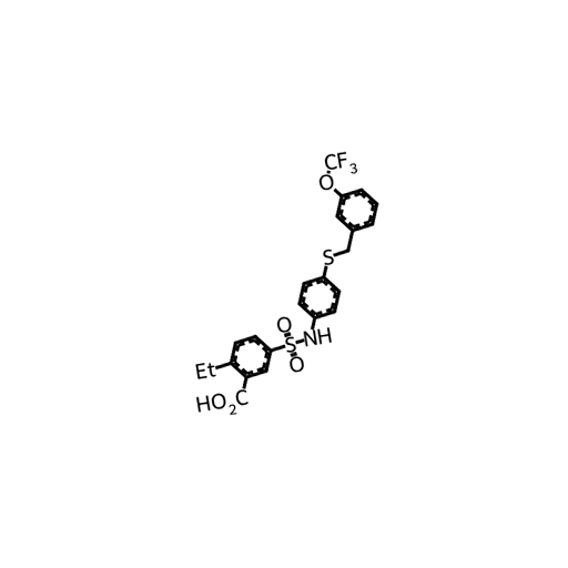 CCc1ccc(S(=O)(=O)Nc2ccc(SCc3cccc(OC(F)(F)F)c3)cc2)cc1C(=O)O